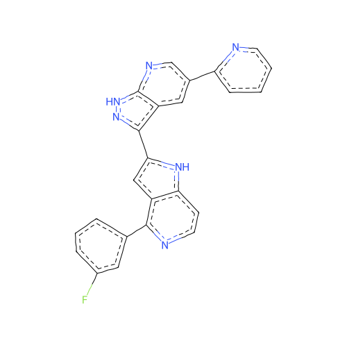 Fc1cccc(-c2nccc3[nH]c(-c4n[nH]c5ncc(-c6ccccn6)cc45)cc23)c1